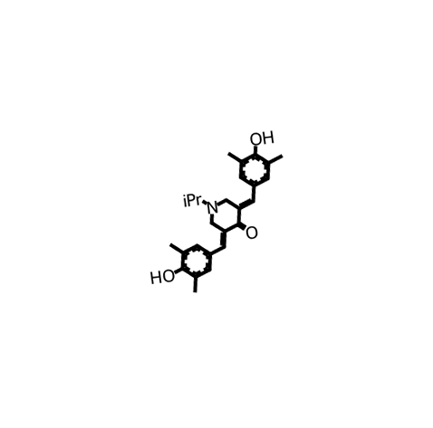 Cc1cc(/C=C2\CN(C(C)C)C/C(=C\c3cc(C)c(O)c(C)c3)C2=O)cc(C)c1O